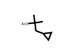 CC(=O)OC(C)(C)CC1CC1